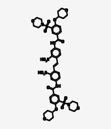 O=C(Nc1ccc(C=Cc2ccc(NC(=O)c3ccc(OC4CCOCC4)c(S(=O)(=O)N4CCOCC4)c3)cc2S(=O)(=O)O)c(S(=O)(=O)O)c1)c1ccc(OC2CCOCC2)c(S(=O)(=O)N2CCOCC2)c1